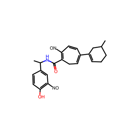 CC1CCC=C(C2=CCC(C(=O)NC(C)c3ccc(O)c(N=O)c3)=C(N=O)C=C2)C1